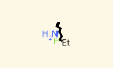 C=CCC(N)CC(F)CC